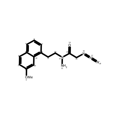 COc1ccc2cccc(CCN(N)C(=O)CN=[N+]=[N-])c2c1